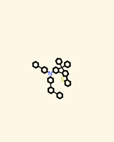 c1ccc(-c2ccc(N(c3ccc(-c4cccc(-c5ccccc5)c4)cc3)c3ccc4c(c3)-c3c(ccc5c3sc3ccccc35)C4(c3ccccc3)c3ccccc3)cc2)cc1